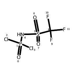 O=P(Cl)(Cl)NS(=O)(=O)C(F)(F)F